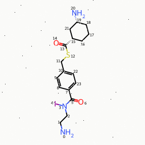 NCCN(I)C(=O)c1ccc(CSC(=O)[C@H]2CCC[C@@H](N)C2)cc1